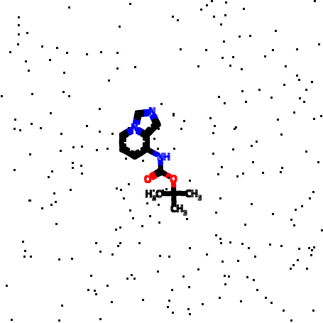 CC(C)(C)OC(=O)Nc1cccn2cncc12